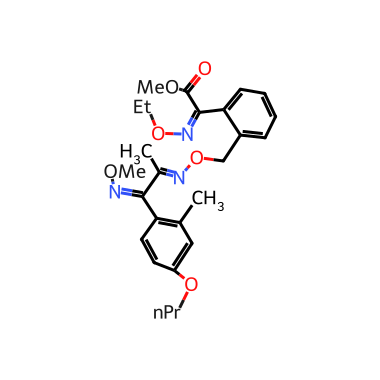 CCCOc1ccc(C(=NOC)C(C)=NOCc2ccccc2C(=NOCC)C(=O)OC)c(C)c1